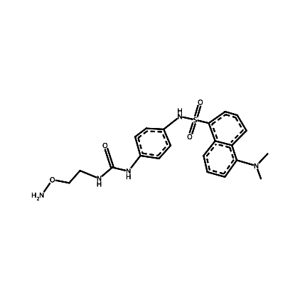 CN(C)c1cccc2c(S(=O)(=O)Nc3ccc(NC(=O)NCCON)cc3)cccc12